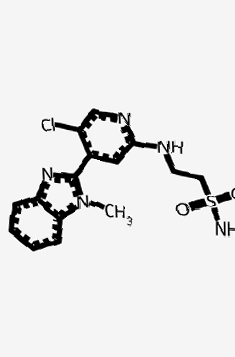 Cn1c(-c2cc(NCCS(N)(=O)=O)ncc2Cl)nc2ccccc21